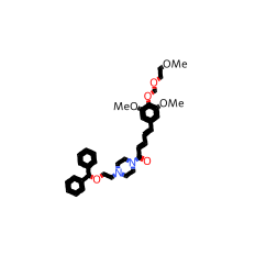 COCCOCOc1c(OC)cc(C=CC=CC(=O)N2CCN(CCOC(c3ccccc3)c3ccccc3)CC2)cc1OC